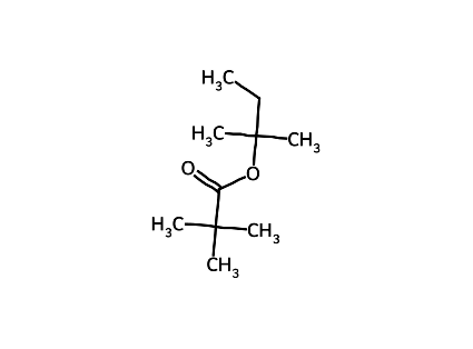 CCC(C)(C)OC(=O)C(C)(C)C